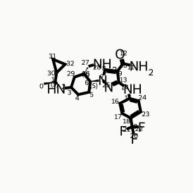 C[C@H](NC1CC[C@H](n2cc(C(N)=O)c(Nc3ccc(C(F)(F)F)cc3)n2)[C@@H](CN)C1)C1CC1